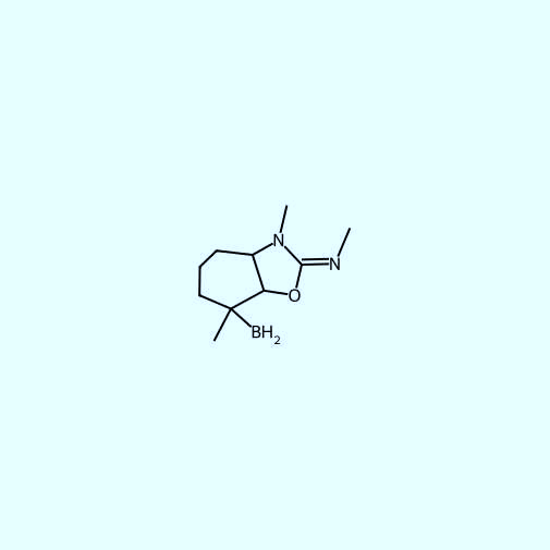 BC1(C)CCCC2C1O/C(=N/C)N2C